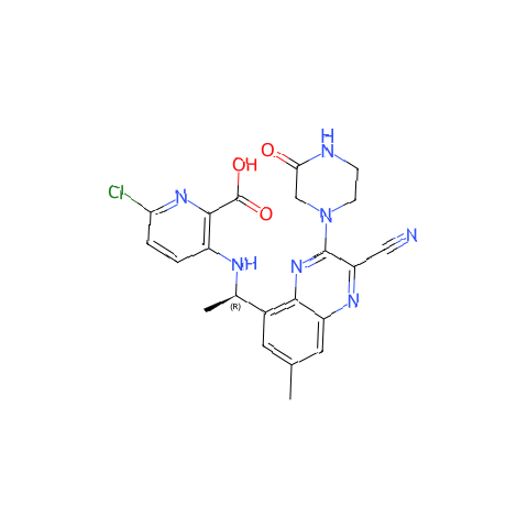 Cc1cc([C@@H](C)Nc2ccc(Cl)nc2C(=O)O)c2nc(N3CCNC(=O)C3)c(C#N)nc2c1